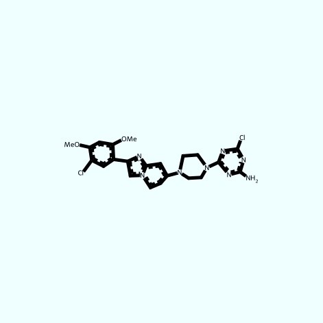 COc1cc(OC)c(-c2cn3ccc(N4CCN(c5nc(N)nc(Cl)n5)CC4)cc3n2)cc1Cl